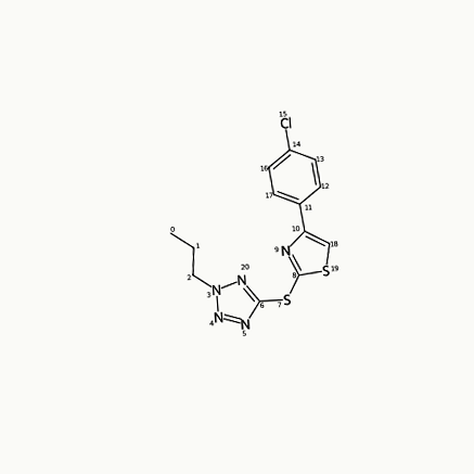 CCCn1nnc(Sc2nc(-c3ccc(Cl)cc3)cs2)n1